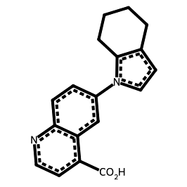 O=C(O)c1ccnc2ccc(-n3ccc4c3CCCC4)cc12